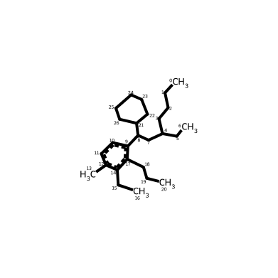 CCCCC(CC)C[C](c1ccc(C)c(CC)c1CCC)C1CCCCC1